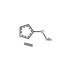 C=C.CCCCOc1ccsc1